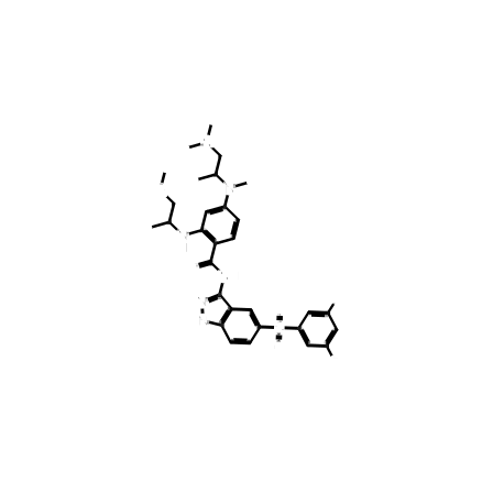 COCC(C)Nc1cc(N(C)C(C)CN(C)C)ccc1C(=O)Nc1n[nH]c2ccc(S(=O)(=O)c3cc(F)cc(F)c3)cc12